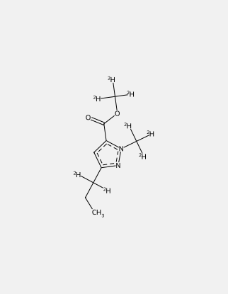 [2H]C([2H])([2H])OC(=O)c1cc(C([2H])([2H])CC)nn1C([2H])([2H])[2H]